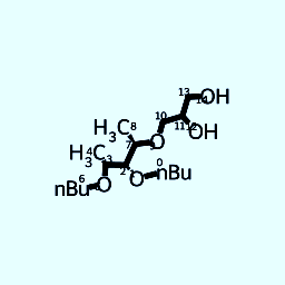 CCCCO[C@H]([C@H](C)OCCCC)[C@@H](C)OCC(O)CO